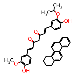 COc1cc(/C=C/C(=O)CC(=O)/C=C/c2ccc(O)c(OC(C)C)c2)ccc1O.c1ccc2c(c1)ccc1c3c(ccc12)CCCC3